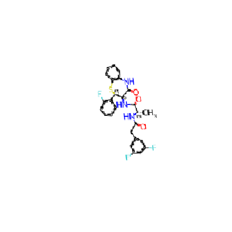 C[C@H](NC(=O)Cc1cc(F)cc(F)c1)C(=O)N[C@@H]1C(=O)Nc2ccccc2S[C@@H]1c1ccccc1F